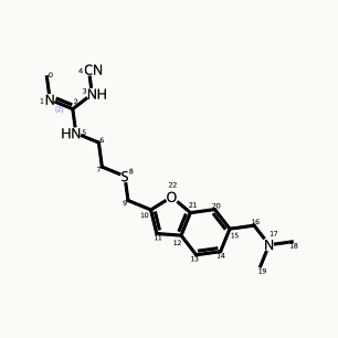 C/N=C(\NC#N)NCCSCc1cc2ccc(CN(C)C)cc2o1